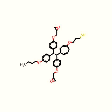 CCCCOc1ccc([C@@H](c2ccc(OCC3CO3)cc2)C(C2=CC=C(OCCCS)CC=C2)c2ccc(OCC3CO3)cc2)cc1